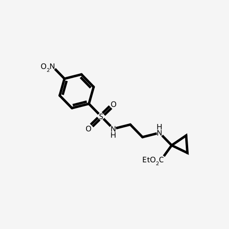 CCOC(=O)C1(NCCNS(=O)(=O)c2ccc([N+](=O)[O-])cc2)CC1